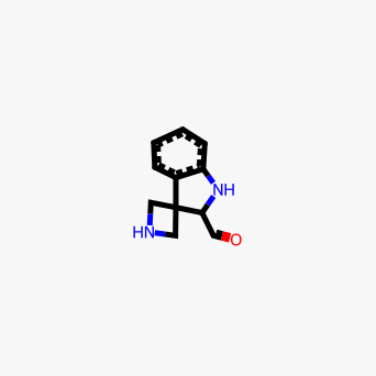 O=CC1Nc2ccccc2C12CNC2